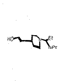 CCCC(CC)N1CCC(CCO)CC1